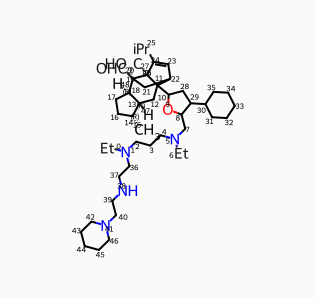 CCN(CCCN(CC)CC1OC(C23C[C@@H]4[C@H](C)CC[C@H]4C4(C=O)CC2C=C(C(C)C)[C@@]34C(=O)O)CC1C1CCCCC1)CCNCCN1CCCCC1